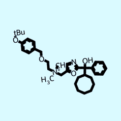 CC(C)(C)Oc1ccc(COCC[N+](C)(C)Cc2cnc(C(O)(c3ccccc3)C3CCCCCCC3)o2)cc1